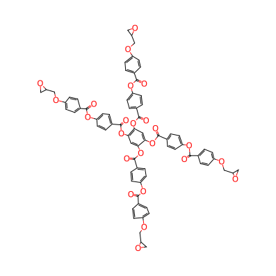 O=C(Oc1ccc(C(=O)Oc2cc(OC(=O)c3ccc(OC(=O)c4ccc(OCC5CO5)cc4)cc3)c(OC(=O)c3ccc(OC(=O)c4ccc(OCC5CO5)cc4)cc3)cc2OC(=O)c2ccc(OC(=O)c3ccc(OCC4CO4)cc3)cc2)cc1)c1ccc(OCC2CO2)cc1